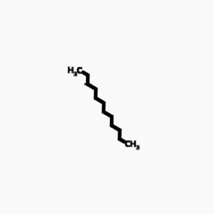 CC[CH]CCCCCCCCC